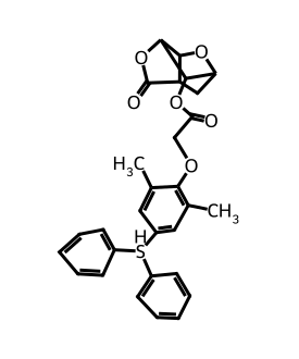 Cc1cc([SH](c2ccccc2)c2ccccc2)cc(C)c1OCC(=O)OC1C2CC3C(=O)OC1C3O2